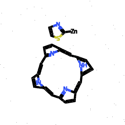 C1=Cc2cc3ccc(cc4nc(cc5ccc(cc1n2)[nH]5)C=C4)[nH]3.[Zn][c]1nccs1